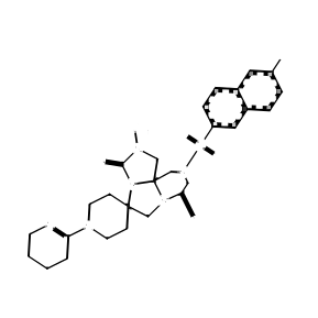 CN1CC23CN(S(=O)(=O)c4ccc5cc(Cl)ccc5c4)CC(=O)N2CC2(CCN(C4=NCCCC4)CC2)N3C1=O